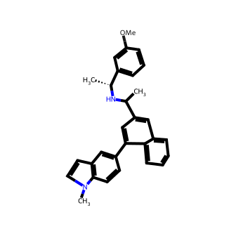 COc1cccc([C@@H](C)NC(C)c2cc(-c3ccc4c(ccn4C)c3)c3ccccc3c2)c1